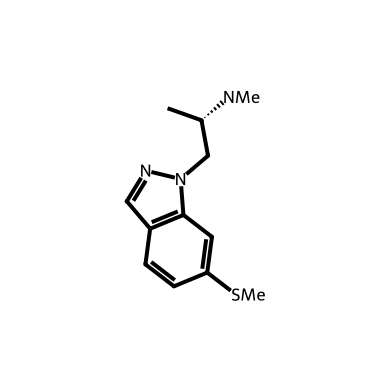 CN[C@@H](C)Cn1ncc2ccc(SC)cc21